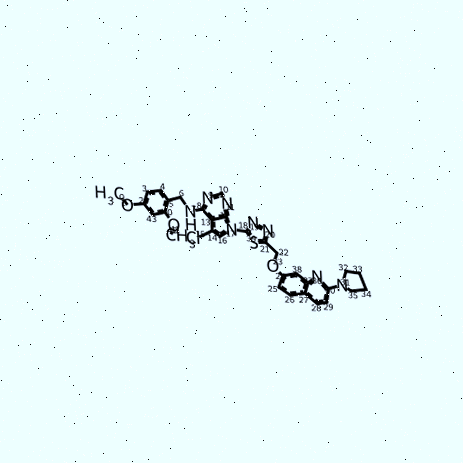 COc1ccc(CNc2ncnc3c2c(Cl)cn3-c2nnc(COc3ccc4ccc(N5CCCC5)nc4c3)s2)c(OC)c1